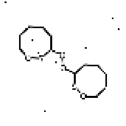 C1CCOSC(OOC2CCCCCOS2)CC1